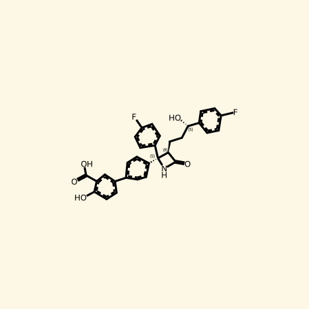 O=C(O)c1cc(-c2ccc([C@@]3(c4ccc(F)cc4)NC(=O)[C@@H]3CC[C@H](O)c3ccc(F)cc3)cc2)ccc1O